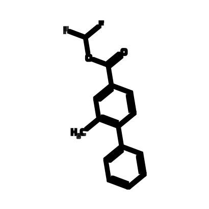 Cc1cc(C(=O)OC(F)F)ccc1-c1ccccc1